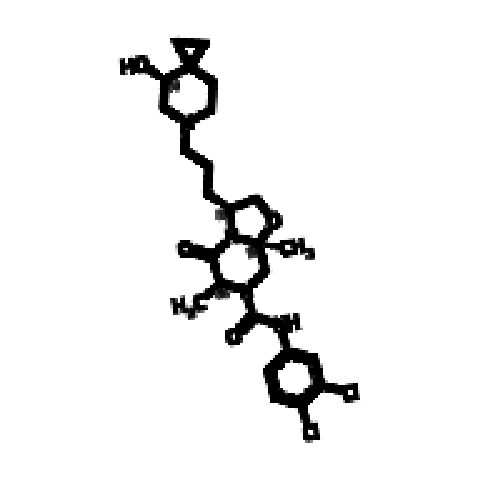 C[C@H]1C(=O)N2[C@@H](CCCN3CCC4(CC4)[C@H](O)C3)CO[C@@]2(C)CN1C(=O)Nc1ccc(Cl)c(Cl)c1